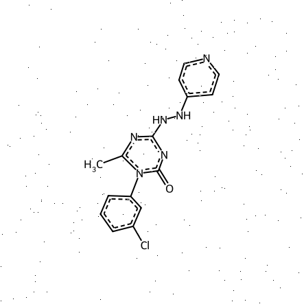 Cc1nc(NNc2ccncc2)nc(=O)n1-c1cccc(Cl)c1